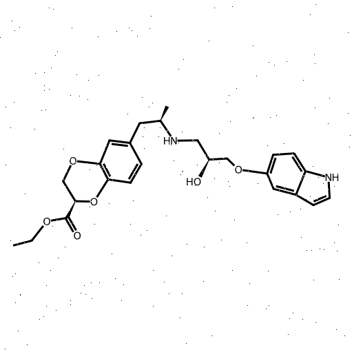 CCOC(=O)[C@H]1COc2cc(C[C@@H](C)NC[C@H](O)COc3ccc4[nH]ccc4c3)ccc2O1